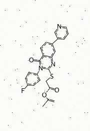 C=C(C)OC(=O)CSc1nc2cc(-c3cccnc3)ccc2c(=O)n1-c1ccc(F)cc1